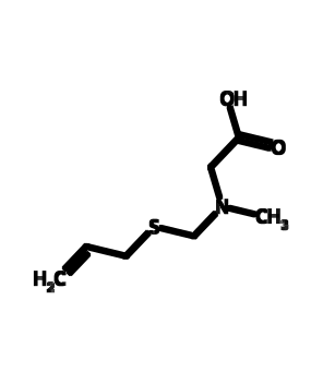 C=CCSCN(C)CC(=O)O